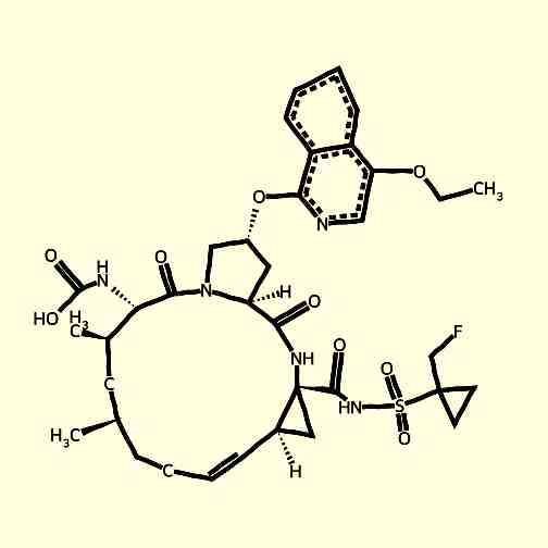 CCOc1cnc(O[C@@H]2C[C@H]3C(=O)N[C@]4(C(=O)NS(=O)(=O)C5(CF)CC5)C[C@H]4/C=C\CC[C@@H](C)C[C@@H](C)[C@H](NC(=O)O)C(=O)N3C2)c2ccccc12